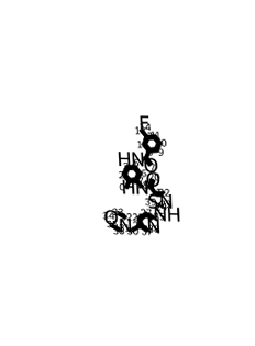 Cc1ccc(NC(=O)c2cccc(CF)c2)cc1NC(=O)c1cnc(Nc2ccc(CN3CCOCC3)cn2)s1